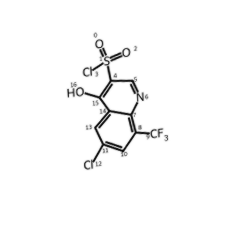 O=S(=O)(Cl)c1cnc2c(C(F)(F)F)cc(Cl)cc2c1O